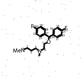 CNCCCN(C)CCOC(c1ccc(F)cc1)c1ccc(F)cc1